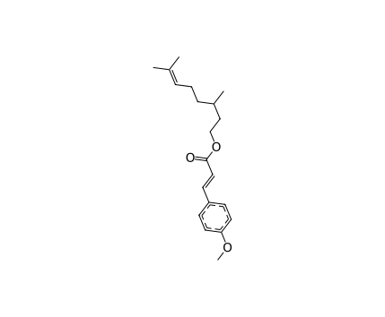 COc1ccc(/C=C/C(=O)OCCC(C)CCC=C(C)C)cc1